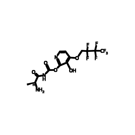 C[C@H](N)C(=O)NC(=O)Oc1nccc(OCC(F)(F)C(F)(F)C(F)(F)F)c1O